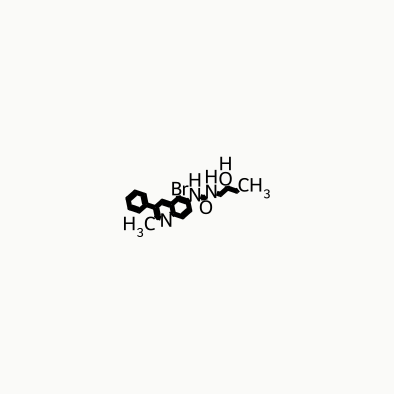 CCC(O)CNC(=O)Nc1ccc2nc(C)c(-c3ccccc3)cc2c1Br